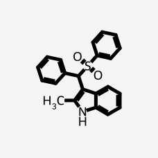 Cc1[nH]c2ccccc2c1C(c1ccccc1)S(=O)(=O)c1ccccc1